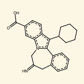 N=C1Cc2ccccc2-c2c(C3CCCCC3)c3ccc(C(=O)O)cc3n2C1